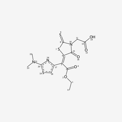 CCOC(=O)C(=C1SC(=S)N(CC(=O)O)C1=O)c1csc(N(C)C)n1